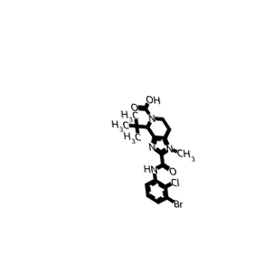 Cn1c(C(=O)Nc2cccc(Br)c2Cl)nc2c1CCN(C(=O)O)C2C(C)(C)C